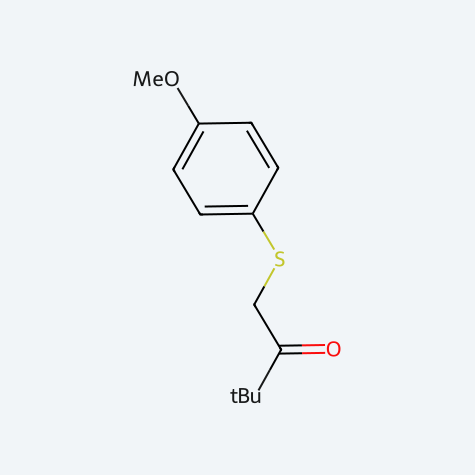 COc1ccc(SCC(=O)C(C)(C)C)cc1